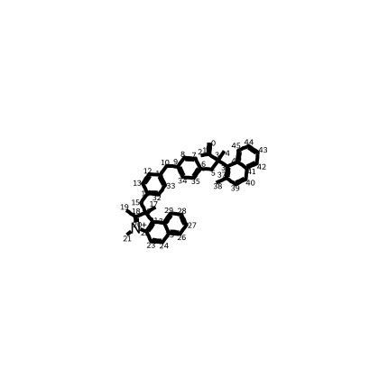 C=C(C)C(C)(Cc1ccc(Cc2ccc(CC3(C)C(C)=[N+](C)c4ccc5ccccc5c43)cc2)cc1)c1c(C)ccc2ccccc12